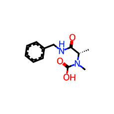 C[C@@H](C(=O)NCc1ccccc1)N(C)C(=O)O